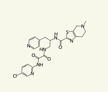 CN1CCc2nc(C(=O)NC(CNC(=O)C(=O)Nc3ccc(Cl)cn3)Cc3ccncc3)sc2C1